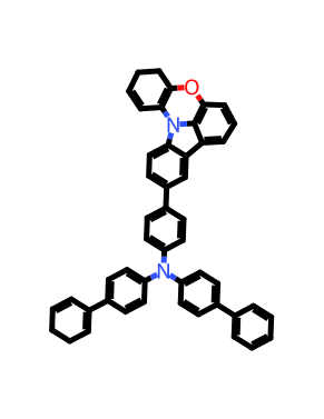 C1=CC(c2ccc(N(c3ccc(-c4ccccc4)cc3)c3ccc(-c4ccc5c(c4)c4cccc6c4n5C4=C(CCC=C4)O6)cc3)cc2)=CCC1